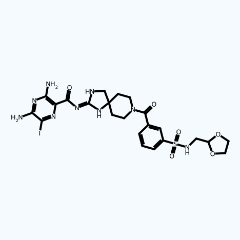 Nc1nc(N)c(C(=O)/N=C2\NCC3(CCN(C(=O)c4cccc(S(=O)(=O)NCC5OCCO5)c4)CC3)N2)nc1I